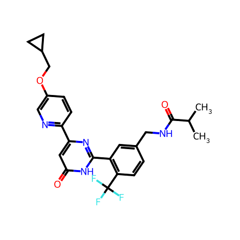 CC(C)C(=O)NCc1ccc(C(F)(F)F)c(-c2nc(-c3ccc(OCC4CC4)cn3)cc(=O)[nH]2)c1